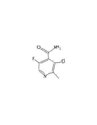 Cc1ncc(F)c(C(N)=O)c1Cl